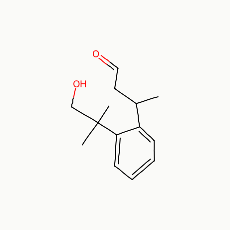 CC(CC=O)c1ccccc1C(C)(C)CO